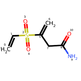 C=CS(=O)(=O)C(=C)CC(N)=O